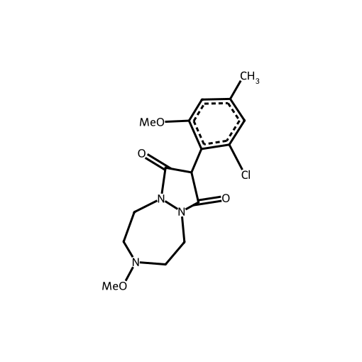 COc1cc(C)cc(Cl)c1C1C(=O)N2CCN(OC)CCN2C1=O